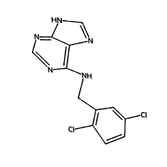 Clc1ccc(Cl)c(CNc2ncnc3[nH]cnc23)c1